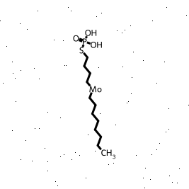 CCCCCCC[CH2][Mo][CH2]CCCSP(=O)(O)O